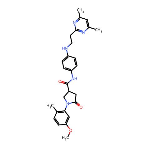 COc1ccc(C)c(N2CC(C(=O)Nc3ccc(NCCc4nc(C)cc(C)n4)cc3)CC2=O)c1